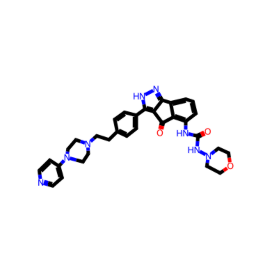 O=C(Nc1cccc2c1C(=O)c1c-2n[nH]c1-c1ccc(CCN2CCN(c3ccncc3)CC2)cc1)NN1CCOCC1